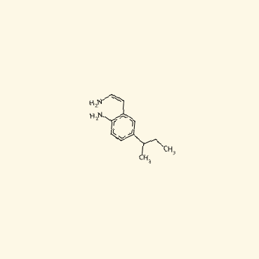 CCC(C)c1ccc(N)c(/C=C\N)c1